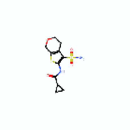 NS(=O)(=O)c1c(NC(=O)C2CC2)sc2c1CCOC2